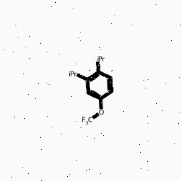 CC(C)c1ccc(OC(F)(F)F)cc1C(C)C